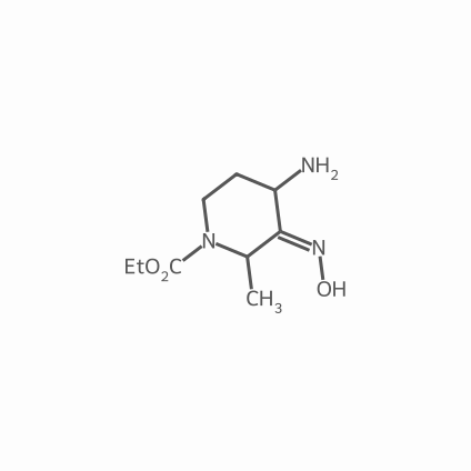 CCOC(=O)N1CCC(N)C(=NO)C1C